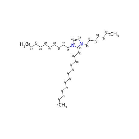 CCCCCCCCCCCCCC1N(CCCCCCC)C=CN1CCCCCCCCCC